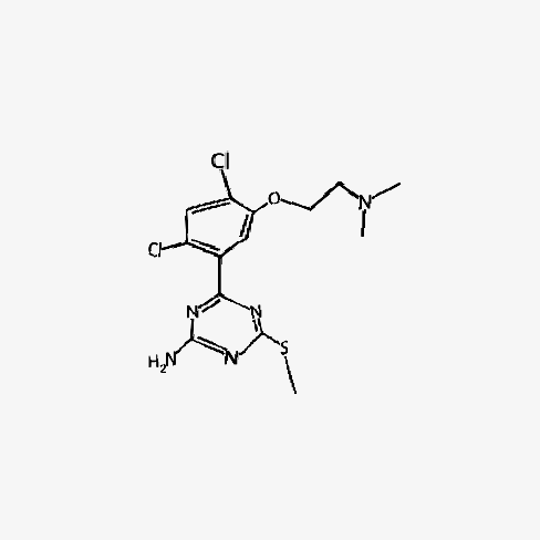 CSc1nc(N)nc(-c2cc(OCCN(C)C)c(Cl)cc2Cl)n1